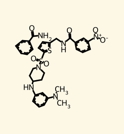 CN(C)c1cccc(NC2CCN(S(=O)(=O)c3ccc(CNC(=O)c4cccc([N+](=O)[O-])c4)s3)CC2)c1.NC(=O)c1ccccc1